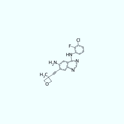 CC1(C#Cc2cc3ncnc(Nc4cccc(Cl)c4F)c3cc2N)COC1